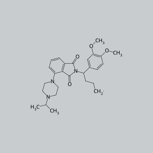 [CH2]CCC(c1ccc(OC)c(OC)c1)N1C(=O)c2cccc(N3CCN(C(C)C)CC3)c2C1=O